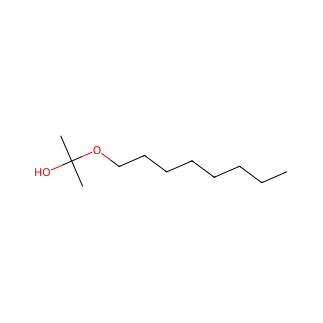 CCCCCCCCOC(C)(C)O